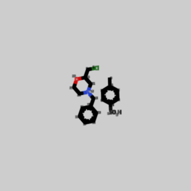 Cc1ccc(S(=O)(=O)O)cc1.ClCC1CN(Cc2ccccc2)CCO1